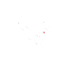 C[C@@H](O)Cn1cc(Nc2nccc(N3C[C@H]4CC[C@@H](C3)N4C(=O)[C@@H]3CC3(F)F)n2)cn1